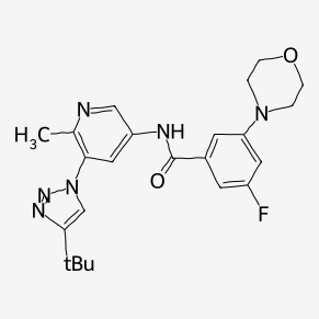 Cc1ncc(NC(=O)c2cc(F)cc(N3CCOCC3)c2)cc1-n1cc(C(C)(C)C)nn1